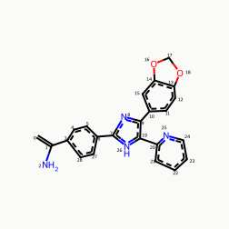 C=C(N)c1ccc(-c2nc(-c3ccc4c(c3)OCO4)c(-c3ccccn3)[nH]2)cc1